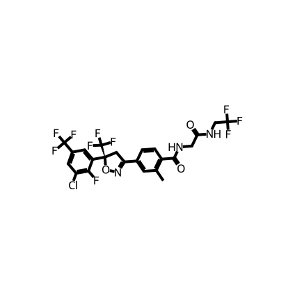 Cc1cc(C2=NO[C@@](c3cc(C(F)(F)F)cc(Cl)c3F)(C(F)(F)F)C2)ccc1C(=O)NCC(=O)NCC(F)(F)F